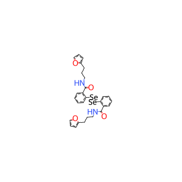 O=C(NCCCc1ccco1)c1ccccc1[Se][Se]c1ccccc1C(=O)NCCCc1ccco1